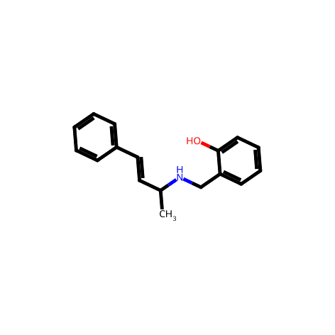 CC(C=Cc1ccccc1)NCc1ccccc1O